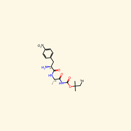 [2H]CC(C)(C)OC(=O)NC(=O)[C@H](C)NC(=O)[C@@H](N)Cc1ccc([N+](=O)[O-])cc1